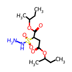 CCC(C)OC(=O)CC(C(=O)OC(C)CC)S(=O)(=O)NN